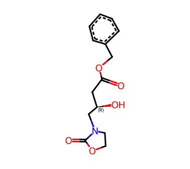 O=C(C[C@@H](O)CN1CCOC1=O)OCc1ccccc1